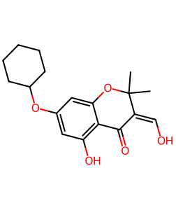 CC1(C)Oc2cc(OC3CCCCC3)cc(O)c2C(=O)C1=CO